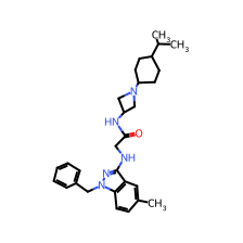 Cc1ccc2c(c1)c(NCC(=O)NC1CN(C3CCC(C(C)C)CC3)C1)nn2Cc1ccccc1